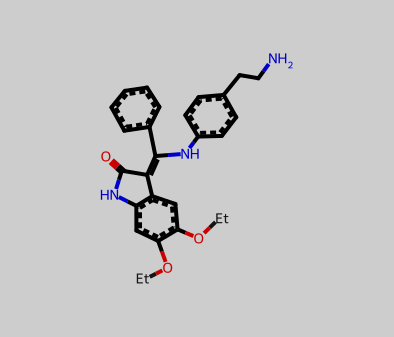 CCOc1cc2c(cc1OCC)C(=C(Nc1ccc(CCN)cc1)c1ccccc1)C(=O)N2